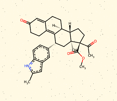 COC(=O)[C@]1(C(C)=O)CC[C@H]2[C@@H]3CCC4=CC(=O)CCC4=C3[C@@H](c3ccc4[nH]c(C)cc4c3)C[C@@]21C